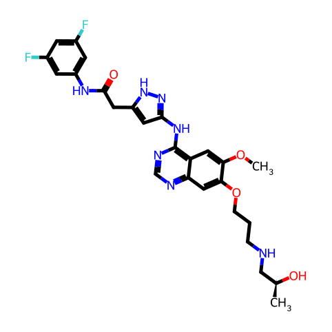 COc1cc2c(Nc3cc(CC(=O)Nc4cc(F)cc(F)c4)[nH]n3)ncnc2cc1OCCCNC[C@H](C)O